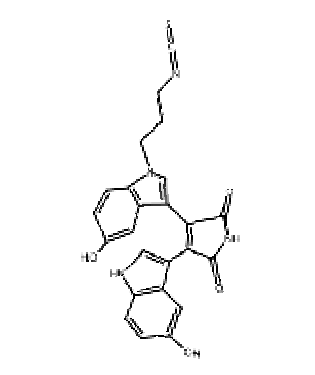 O=C1NC(=O)C(c2cn(CCCN=C=S)c3ccc(O)cc23)=C1c1c[nH]c2ccc(O)cc12